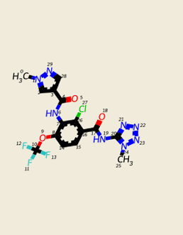 Cn1cc(C(=O)Nc2c(OC(F)(F)F)ccc(C(=O)Nc3nnnn3C)c2Cl)cn1